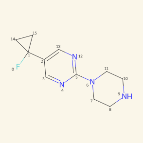 FC1(c2cnc(N3CCNCC3)nc2)CC1